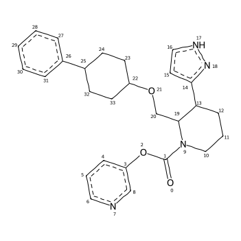 O=C(Oc1cccnc1)N1CCCC(c2cc[nH]n2)C1COC1CCC(c2ccccc2)CC1